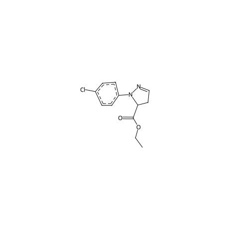 CCOC(=O)C1CC=NN1c1ccc(Cl)cc1